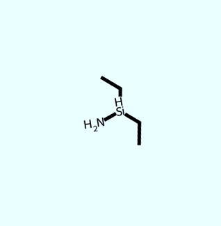 CC[SiH](N)CC